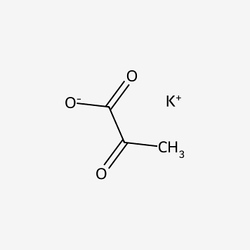 CC(=O)C(=O)[O-].[K+]